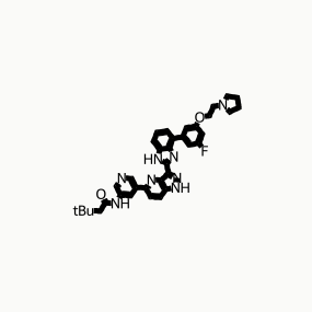 CC(C)(C)CC(=O)Nc1cncc(-c2ccc3[nH]nc(-c4nc5c(-c6cc(F)cc(OCCN7CCCC7)c6)cccc5[nH]4)c3n2)c1